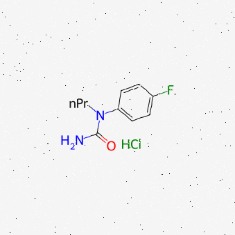 CCCN(C(N)=O)c1ccc(F)cc1.Cl